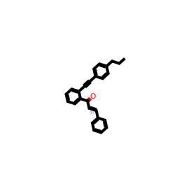 CCCc1ccc(C#Cc2ccccc2C(=O)/C=C/c2ccccc2)cc1